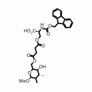 CO[C@H]1OC(COC(=O)CCC(=O)OC[C@H](NC(=O)OCC2c3ccccc3-c3ccccc32)C(=O)O)[C@@H](O)[C@H](C)C1C